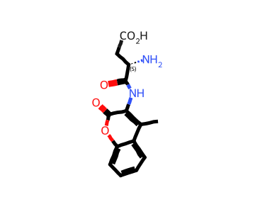 Cc1c(NC(=O)[C@@H](N)CC(=O)O)c(=O)oc2ccccc12